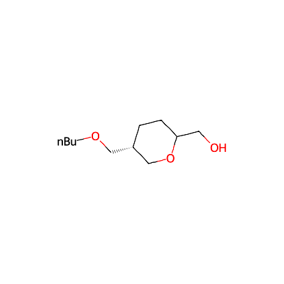 CCCCOC[C@@H]1CCC(CO)OC1